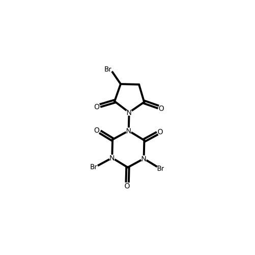 O=C1CC(Br)C(=O)N1n1c(=O)n(Br)c(=O)n(Br)c1=O